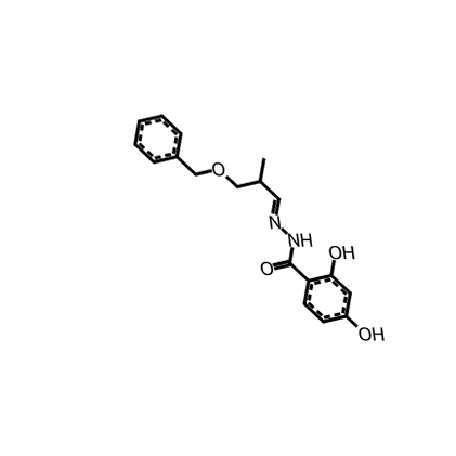 CC(C=NNC(=O)c1ccc(O)cc1O)COCc1ccccc1